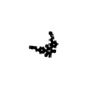 O=C=NCc1ccc(-n2c(=O)[nH]c(=O)n(-c3cccc(CN=C=O)c3)c2=O)cc1